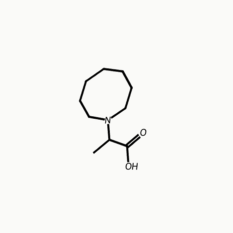 CC(C(=O)O)N1CCCCCCC1